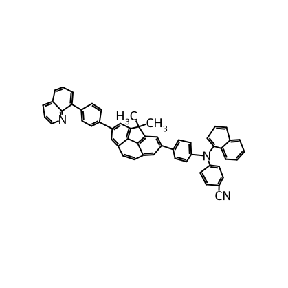 CC1(C)c2cc(-c3ccc(-c4cccc5cccnc45)cc3)cc3ccc4cc(-c5ccc(N(c6ccc(C#N)cc6)c6cccc7ccccc67)cc5)cc1c4c23